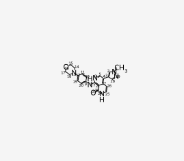 Cn1cc(-c2cnc(Nc3ccc(N4CCOCC4)cc3)c3c(=O)[nH]ccc23)cn1